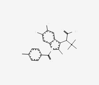 Cc1ccc(C(=O)n2c(C)c(C(C(=O)O)C(C)(C)C)c3cc(O)c(F)cc32)cc1